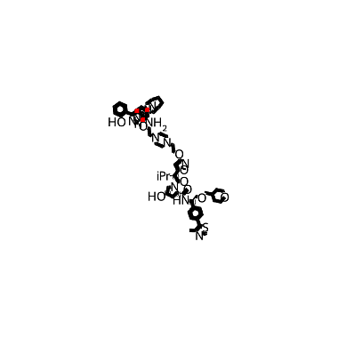 Cc1ncsc1-c1ccc([C@H](COCC2CCOCC2)NC(=O)[C@@H]2C[C@@H](O)CN2C(=O)[C@@H](c2cc(OCCN3CCN(CCOc4cc(N5C6CCC5CN(c5cc(-c7ccccc7O)nnc5N)C6)ccn4)CC3)no2)C(C)C)cc1